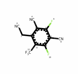 N#CCc1c(C#N)c(F)c(C#N)c(F)c1C(F)(F)F